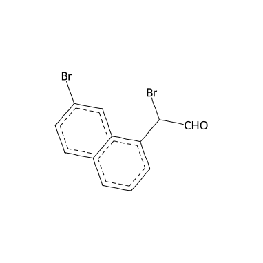 O=CC(Br)c1cccc2ccc(Br)cc12